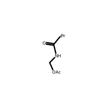 CC(=O)OCNC(=O)C(C)C